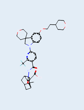 CC12CC3CC1CC2CC3(NC(=O)c1ccc(N2CC3(CCOCC3)c3cc(OCCC4CCOCC4)ccc32)nc1C(F)(F)F)C(=O)O